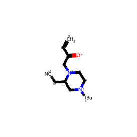 C=CC(=O)CN1CCN(C(C)(C)C)CC1CC#N